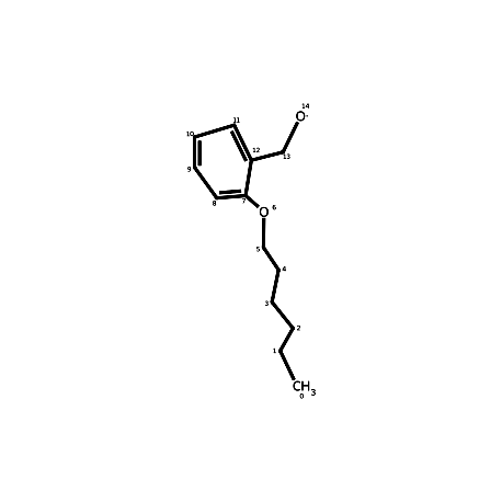 CCCCCCOc1ccccc1C[O]